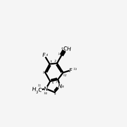 C#Cc1c(F)cc2c(ncn2C)c1F